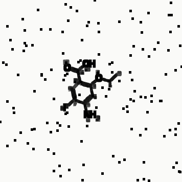 CCOc1cc(N)c(F)cc1C(=O)O